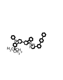 CC(C)(C)c1ccc2c(c1)C1C=C(C3C=c4c(n(-c5nccc(-c6cccc(-c7ccc(-c8ccccc8)cc7)c6)n5)c5ccccc45)=CC3)C=CC1N2c1ccccc1